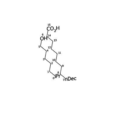 CC(C)CCCCCO.CCCCCCCCCCCCCCCCCC(=O)O